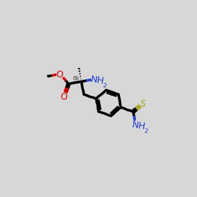 COC(=O)[C@@](C)(N)Cc1ccc(C(N)=S)cc1